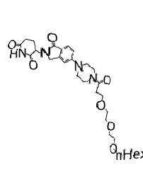 CCCCCCOCCOCCOCCC(=O)N1CCN(c2ccc3c(c2)CN(C2CCC(=O)NC2=O)C3=O)CC1